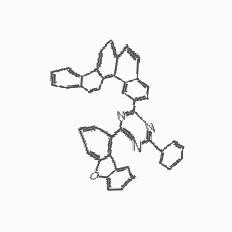 c1ccc(-c2nc(-c3ccc4ccc5ccc6c7ccccc7ccc6c5c4c3)nc(-c3cccc4oc5ccccc5c34)n2)cc1